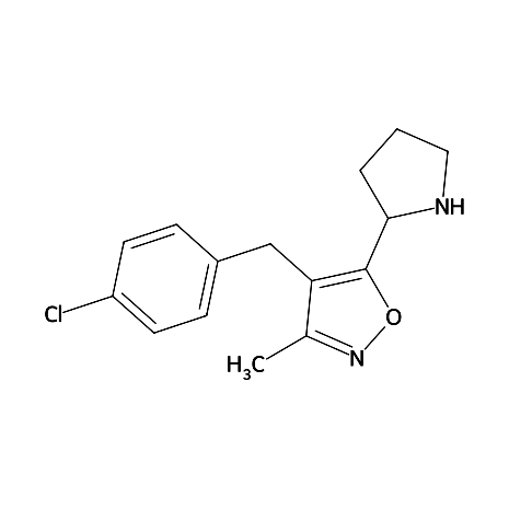 Cc1noc(C2CCCN2)c1Cc1ccc(Cl)cc1